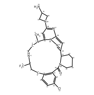 CN1CCNC(C(F)(F)F)CCc2ccc(Cl)cc2C(=O)N2CCCCC2c2cc3nc(N4CC(N)C4)cc1n3n2